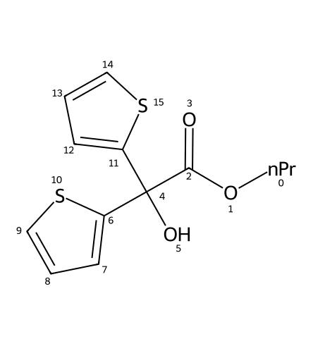 CCCOC(=O)C(O)(c1cccs1)c1cccs1